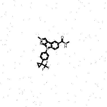 CNC(=O)c1ccc2c(c1)c1cn(C)nc1n2-c1ccc(C2(C(F)(F)F)CC2)cc1